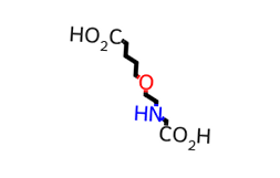 O=C(O)CCCCOCCNCC(=O)O